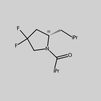 CC(C)C[C@H]1CC(F)(F)CN1C(=O)C(C)C